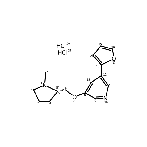 CN1CCC[C@H]1COc1cncc(-c2ccco2)c1.Cl.Cl